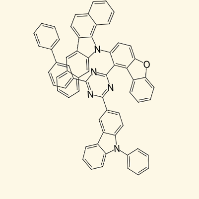 c1ccc(-c2cccc(-c3nc(-c4ccc5c(c4)c4ccccc4n5-c4ccccc4)nc(-c4c(-n5c6cc7ccccc7cc6c6ccc7ccccc7c65)ccc5oc6ccccc6c45)n3)c2)cc1